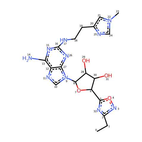 CCc1noc(C2OC(n3cnc4c(N)nc(NCCc5cn(C)cn5)nc43)C(O)C2O)n1